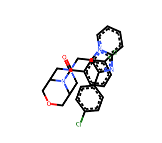 O=C(c1cccc(Cl)c1)N1C2COCC1CN(Cc1c(-c3ccc(Cl)cc3)nc3ccccn13)C2